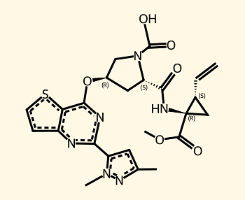 C=C[C@@H]1C[C@]1(NC(=O)[C@@H]1C[C@@H](Oc2nc(-c3cc(C)nn3C)nc3ccsc23)CN1C(=O)O)C(=O)OC